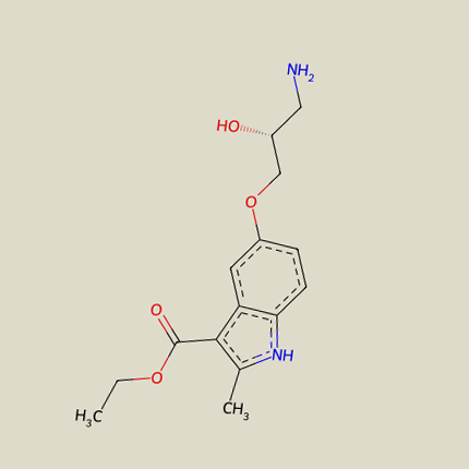 CCOC(=O)c1c(C)[nH]c2ccc(OC[C@H](O)CN)cc12